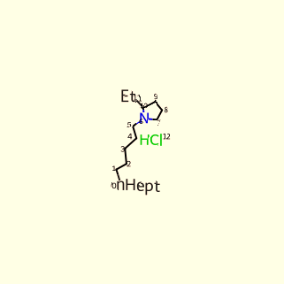 CCCCCCCCCCCCN1CCCC1CC.Cl